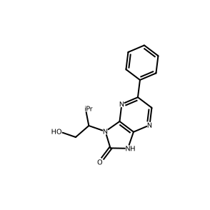 CC(C)C(CO)n1c(=O)[nH]c2ncc(-c3ccccc3)nc21